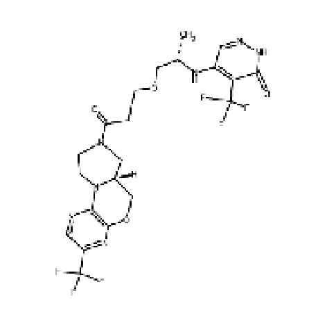 C[C@@H](COCCC(=O)N1CCN2c3ncc(C(F)(F)F)nc3OC[C@H]2C1)Nc1cn[nH]c(=O)c1C(F)(F)F